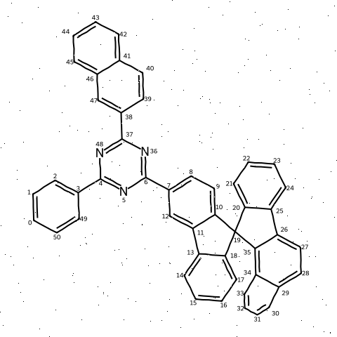 c1ccc(-c2nc(-c3ccc4c(c3)-c3ccccc3C43c4ccccc4-c4ccc5ccccc5c43)nc(-c3ccc4ccccc4c3)n2)cc1